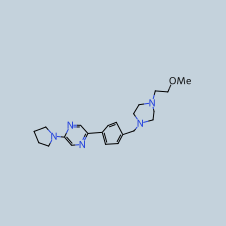 COCCN1CCN(Cc2ccc(-c3cnc(N4CCCC4)cn3)cc2)CC1